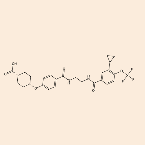 O=C(NCCNC(=O)c1ccc(OC(F)(F)F)c(C2CC2)c1)c1ccc(O[C@H]2CC[C@@H](C(=O)O)CC2)cc1